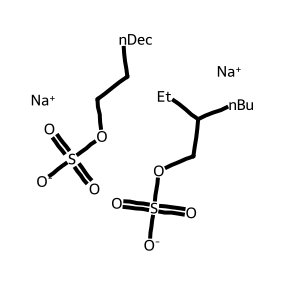 CCCCC(CC)COS(=O)(=O)[O-].CCCCCCCCCCCCOS(=O)(=O)[O-].[Na+].[Na+]